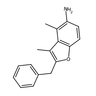 Cc1c(N)ccc2oc(Cc3ccccc3)c(C)c12